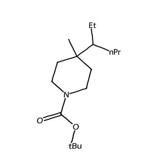 CCCC(CC)C1(C)CCN(C(=O)OC(C)(C)C)CC1